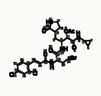 CC(=O)OC(C(=O)NC1CC1)C(C[C@@H]1CCNC1=O)NC(=O)C(CC(C)(C)C)NC(=O)/C=C/c1ccc(Cl)cc1Cl